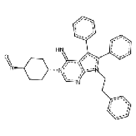 N=c1c2c(-c3ccccc3)c(-c3ccccc3)n(CCc3ccccc3)c2ncn1[C@H]1CC[C@H](N=O)CC1